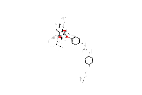 CN(C)CCOc1ccc(NC(=O)Nc2ccc(-c3nc(N4C5COCC4(C(C)(C)C)CN(C(=O)O)C5)c4cnn(CC(F)(F)F)c4n3)cc2)cc1